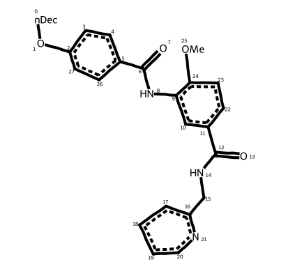 CCCCCCCCCCOc1ccc(C(=O)Nc2cc(C(=O)NCc3ccccn3)ccc2OC)cc1